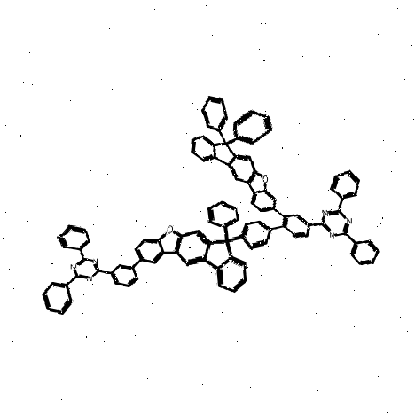 c1ccc(-c2nc(-c3ccccc3)nc(-c3cccc(-c4ccc5oc6cc7c(cc6c5c4)-c4ccccc4C7(c4ccccc4)c4ccc(-c5ccc(-c6nc(-c7ccccc7)nc(-c7ccccc7)n6)cc5-c5ccc6c(c5)oc5cc7c(cc56)-c5ccccc5C7(c5ccccc5)c5ccccc5)cc4)c3)n2)cc1